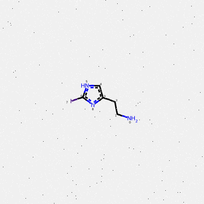 NCCc1c[nH]c(I)n1